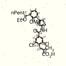 CCCCC[C@@H](OCC)c1cccc(-c2csc(NC(=O)c3cc(Cl)c(/C=C(\C)C(=O)O)c(Cl)c3)n2)c1OC